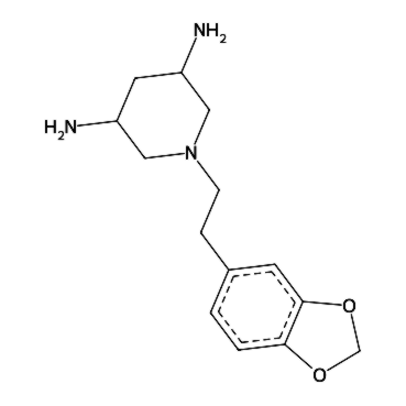 NC1CC(N)CN(CCc2ccc3c(c2)OCO3)C1